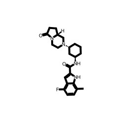 Cc1ccc(F)c2cc(C(=O)N[C@@H]3CCC[C@@H](N4CCN5C(=O)CC[C@@H]5C4)C3)[nH]c12